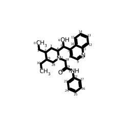 CCC1CC(C(O)c2ccnc3ccccc23)N(CC(=O)Nc2ccccc2)CC1CC